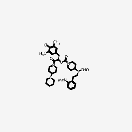 CNc1ccccc1CCN(C=O)C1CCN(C(=O)O[C@H](Cc2cc(C)c(Cl)c(C)c2)C(=O)N2CCC(N3CCCCC3)CC2)CC1